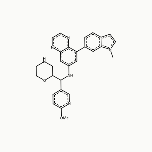 COc1ccc(C(Nc2cc(-c3ccc4ccn(C)c4c3)c3nccnc3c2)C2CNCCO2)cn1